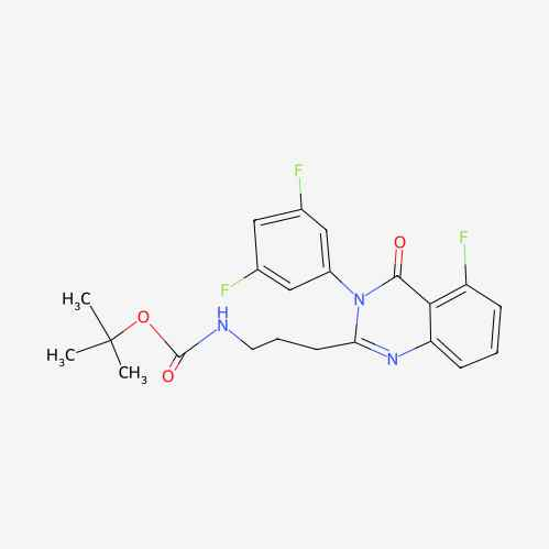 CC(C)(C)OC(=O)NCCCc1nc2cccc(F)c2c(=O)n1-c1cc(F)cc(F)c1